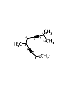 [CH2]CC#CC(C)CC#CC(C)C